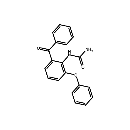 NC(=O)Nc1c(Oc2ccccc2)cccc1C(=O)c1ccccc1